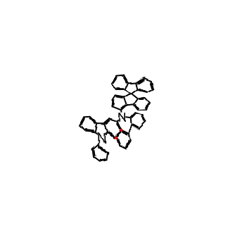 c1ccc(-c2ccccc2N(c2ccc3c(c2)c2ccccc2n3-c2ccccc2)c2cccc3c2-c2ccccc2C32c3ccccc3-c3ccccc32)cc1